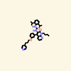 CCCCn1c(=O)c(NC(=O)Nc2c(C(C)C)cccc2C(C)C)c(-c2cccc(OCCCc3ccncc3)c2)c2cccnc21